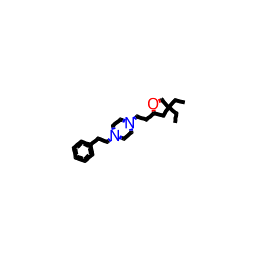 CCC1(CC)COC(CCN2CCN(CCc3ccccc3)CC2)C1